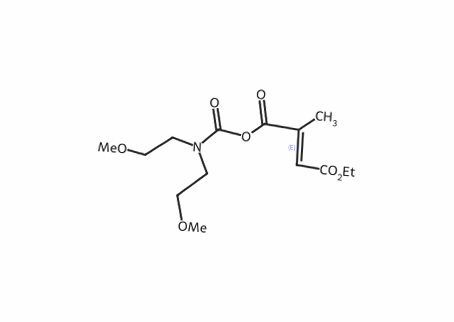 CCOC(=O)/C=C(\C)C(=O)OC(=O)N(CCOC)CCOC